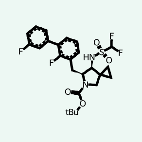 CC(C)(C)OC(=O)N1CC2(CC2)[C@H](NS(=O)(=O)C(F)F)[C@@H]1Cc1cccc(-c2cccc(F)c2)c1F